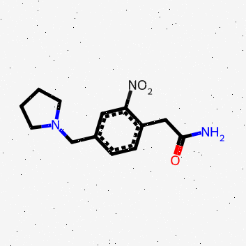 NC(=O)Cc1ccc(CN2CCCC2)cc1[N+](=O)[O-]